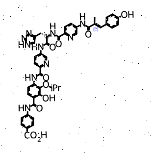 C/C(=C\c1ccc(O)cc1)C(=O)Nc1ccc(C(=O)N[C@@H](Cc2c[nH]nn2)C(=O)Nc2ccc(C(=O)Nc3ccc(C(=O)Nc4ccc(C(=O)O)cc4)c(O)c3OC(C)C)nc2)nc1